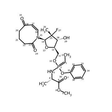 CC=P(N[C@@H](C)C(=O)OC)(OC[C@H]1O[C@@H](N2/C=C\C(=O)CCCC2=O)[C@](C)(F)[C@@H]1O)Oc1ccccc1